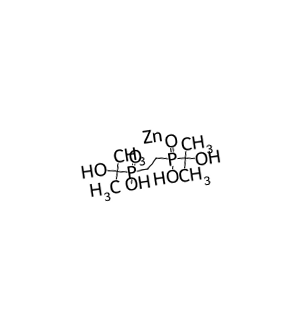 CC(C)(O)P(=O)(O)CCP(=O)(O)C(C)(C)O.[Zn]